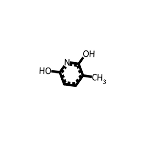 Cc1ccc(O)nc1O